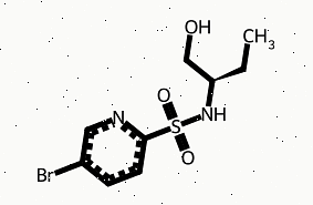 CC[C@H](CO)NS(=O)(=O)c1ccc(Br)cn1